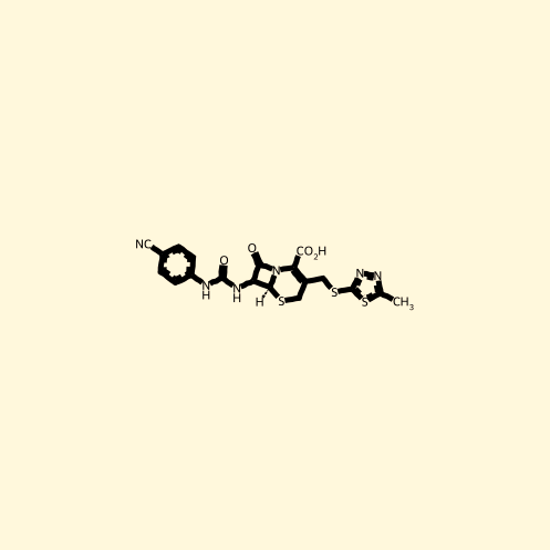 Cc1nnc(SCC2=C(C(=O)O)N3C(=O)C(NC(=O)Nc4ccc(C#N)cc4)[C@@H]3SC2)s1